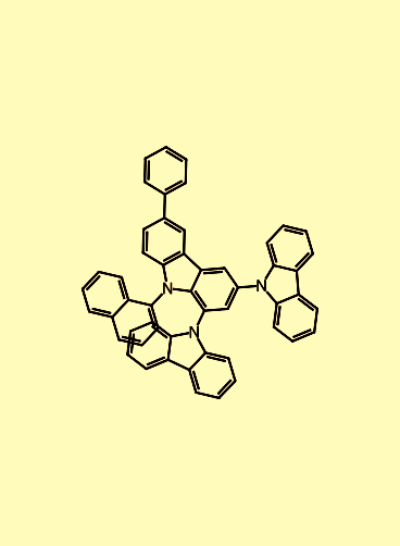 c1ccc(-c2ccc3c(c2)c2cc(-n4c5ccccc5c5ccccc54)cc(-n4c5ccccc5c5ccccc54)c2n3-c2cccc3ccccc23)cc1